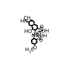 CNc1ccc2cc(S(=O)(=O)O)c(N=Nc3ccc(OC)cc3S(=O)(=O)O)c(O)c2c1